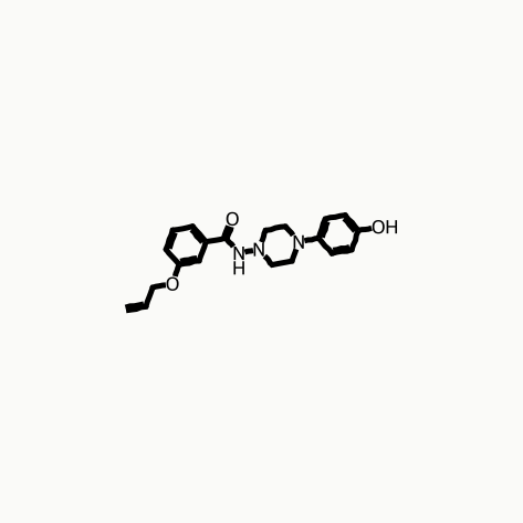 C=CCOc1cccc(C(=O)NN2CCN(c3ccc(O)cc3)CC2)c1